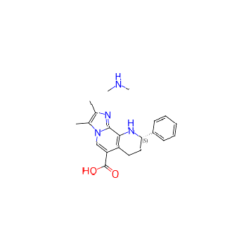 CNC.Cc1nc2c3c(c(C(=O)O)cn2c1C)CC[C@@H](c1ccccc1)N3